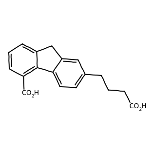 O=C(O)CCCc1ccc2c(c1)Cc1cccc(C(=O)O)c1-2